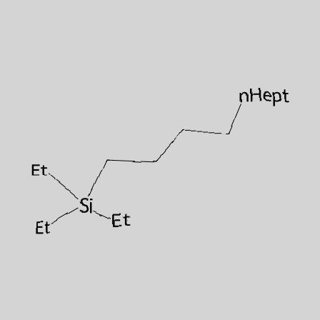 [CH2]CCCCCCCCCC[Si](CC)(CC)CC